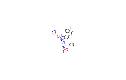 C=CC(=O)N1CCN(c2nc(OC[C@@H]3CCCN3C)nc3c2CCC2(CC=C(C)c4c(F)cccc42)C3)C[C@@H]1CC#N